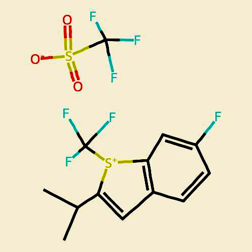 CC(C)c1cc2ccc(F)cc2[s+]1C(F)(F)F.O=S(=O)([O-])C(F)(F)F